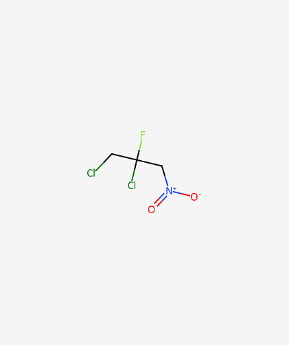 O=[N+]([O-])CC(F)(Cl)CCl